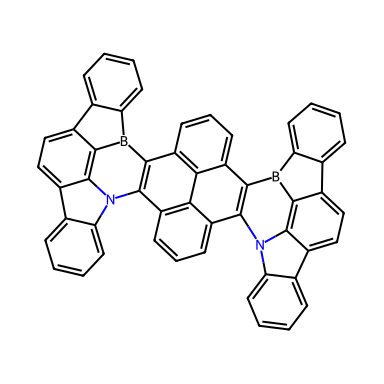 c1ccc2c(c1)B1c3c(c4cccc5c6c(c7cccc3c7c45)B3c4ccccc4-c4ccc5c7ccccc7n-6c5c43)-n3c4ccccc4c4ccc-2c1c43